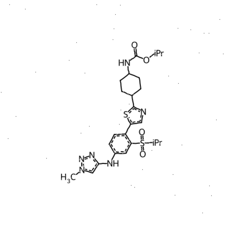 CC(C)OC(=O)NC1CCC(c2ncc(-c3ccc(Nc4cn(C)nn4)cc3S(=O)(=O)C(C)C)s2)CC1